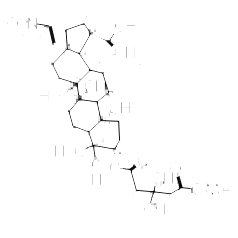 C=C(C)[C@@H]1CC[C@]2(/C=C/[N+](=O)[O-])CC[C@]3(C)C(CCC4[C@@]5(C)CC[C@H](OC(=O)CC(C)(C)CC(=O)OC)C(C)(C)C5CC[C@]43C)C12